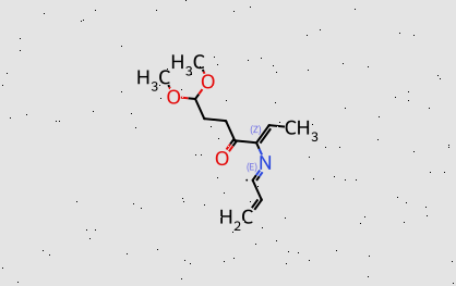 C=C/[C]=N/C(=C\C)C(=O)CCC(OC)OC